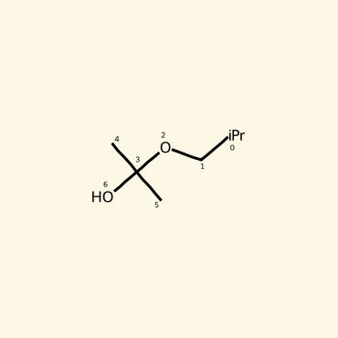 CC(C)COC(C)(C)O